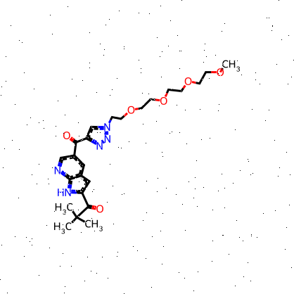 COCCOCCOCCOCCn1cc(C(=O)c2cnc3[nH]c(C(=O)C(C)(C)C)cc3c2)nn1